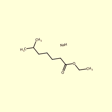 CCOC(=O)CCCCC(C)C.[NaH]